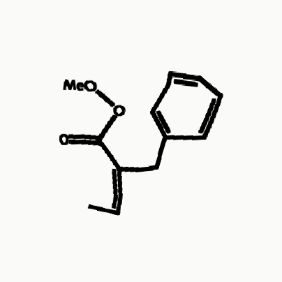 CC=C(Cc1ccccc1)C(=O)OOC